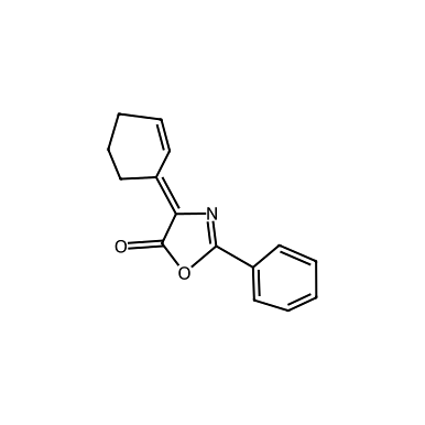 O=C1OC(c2ccccc2)=NC1=C1C=CCCC1